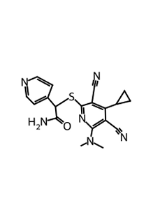 CN(C)c1nc(SC(C(N)=O)c2ccncc2)c(C#N)c(C2CC2)c1C#N